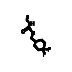 CCNC(=O)OCC1CCC(F)(F)CC1